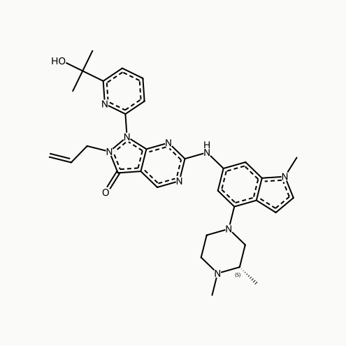 C=CCn1c(=O)c2cnc(Nc3cc(N4CCN(C)[C@@H](C)C4)c4ccn(C)c4c3)nc2n1-c1cccc(C(C)(C)O)n1